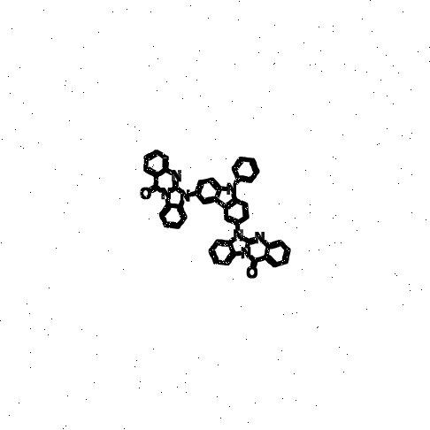 O=c1c2ccccc2nc2n(-c3ccc4c(c3)c3cc(-n5c6ccccc6n6c(=O)c7ccccc7nc56)ccc3n4-c3ccccc3)c3ccccc3n12